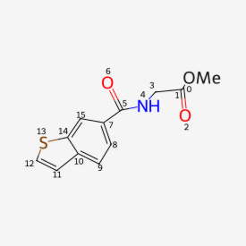 COC(=O)CNC(=O)c1ccc2ccsc2c1